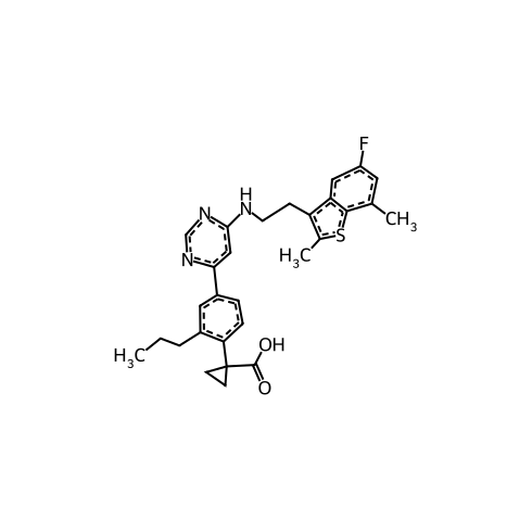 CCCc1cc(-c2cc(NCCc3c(C)sc4c(C)cc(F)cc34)ncn2)ccc1C1(C(=O)O)CC1